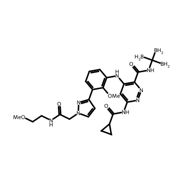 BC(B)(B)NC(=O)c1nnc(NC(=O)C2CC2)cc1Nc1cccc(-c2ccn(CC(=O)NCCOC)n2)c1OC